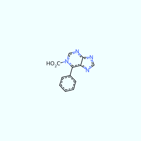 O=C(O)n1cnc2ncnc-2c1-c1ccccc1